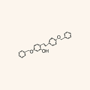 Oc1cc(OCc2ccccc2)ccc1C=Cc1ccc(OCc2ccccc2)cc1